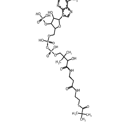 CC(C)(C)C(=O)SCCNC(=O)CCNC(=O)C(O)C(C)(C)COP(=O)(O)OP(=O)(O)OCC1OC(n2cnc3c(N)ncnc32)C(O)C1OP(=O)(O)O